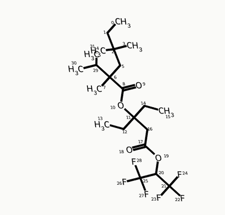 CCC(C)(C)CC(C)(C(=O)OC(CC)(CC)CC(=O)OC(C(F)(F)F)C(F)(F)F)C(C)C